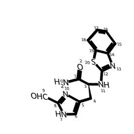 NC(=O)[C@H](Cc1c[nH]c(C=O)n1)Nc1nc2ccccc2s1